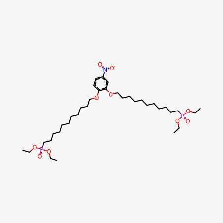 CCOP(=O)(CCCCCCCCCCCOc1ccc([N+](=O)[O-])cc1OCCCCCCCCCCCP(=O)(OCC)OCC)OCC